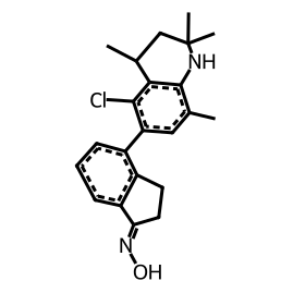 Cc1cc(-c2cccc3c2CCC3=NO)c(Cl)c2c1NC(C)(C)CC2C